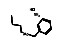 CCC[CH2][Mg][CH2]c1ccccc1.Cl.N